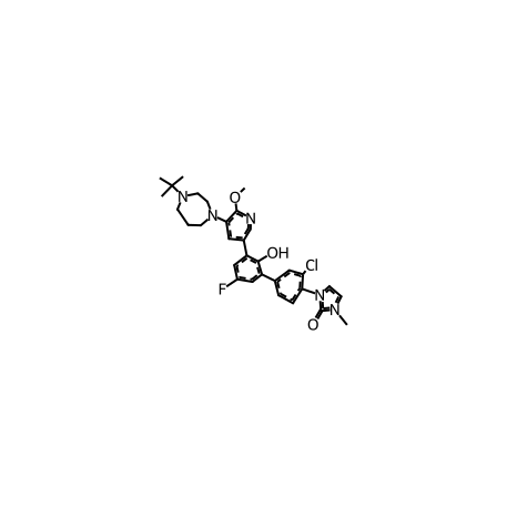 COc1ncc(-c2cc(F)cc(-c3ccc(-n4ccn(C)c4=O)c(Cl)c3)c2O)cc1N1CCCN(C(C)(C)C)CC1